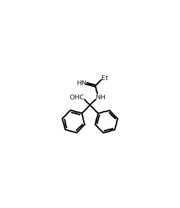 CCC(=N)NC(C=O)(c1ccccc1)c1ccccc1